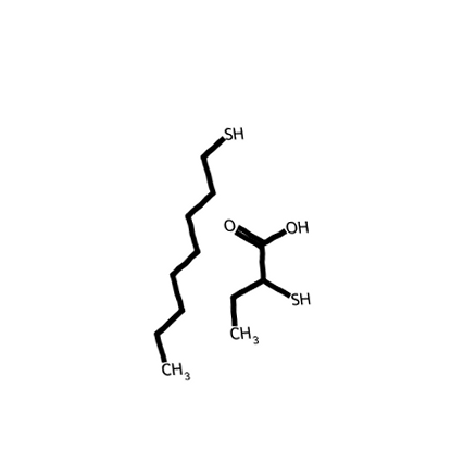 CCC(S)C(=O)O.CCCCCCCCS